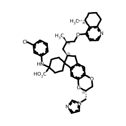 C[C@@H](COc1ccnc2c1[C@H](C)CCC2)C[C@H]1Cc2cc3c(cc2C12CCC(Nc1cccc(Cl)c1)(C(=O)O)CC2)O[C@@H](Cn1ccnc1)CO3